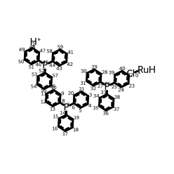 [Cl][RuH].[H+].c1ccc(P(c2ccccc2)c2ccccc2)cc1.c1ccc(P(c2ccccc2)c2ccccc2)cc1.c1ccc(P(c2ccccc2)c2ccccc2)cc1